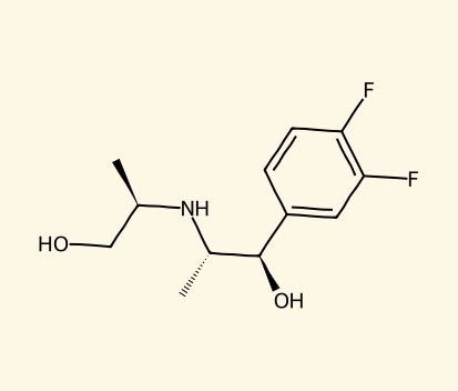 C[C@H](CO)N[C@@H](C)[C@H](O)c1ccc(F)c(F)c1